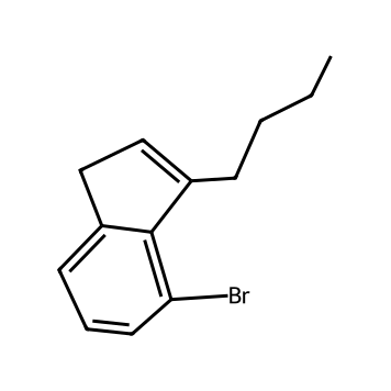 CCCCC1=CCc2cccc(Br)c21